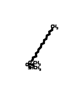 CCCCCCCCCCCCCCCCOP(=O)(S)C(C)C